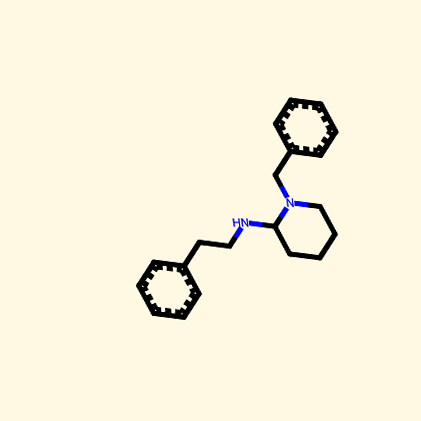 c1ccc(CCNC2CCCCN2Cc2ccccc2)cc1